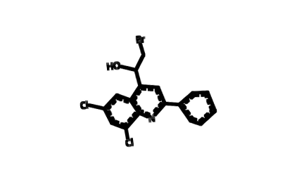 OC(CBr)c1cc(-c2ccccc2)nc2c(Cl)cc(Cl)cc12